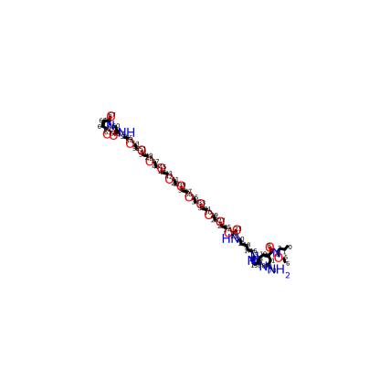 CCCN(OCC)C(=O)C1=Cc2c(cnn2CCCCCNC(=O)OCCOCCOCCOCCOCCOCCOCCOCCOCCOCCOCCNC(=O)CN2C(=O)C=CC2=O)N=C(N)C1